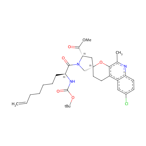 C=CCCCCC[C@H](NC(=O)OC(C)(C)C)C(=O)N1C[C@]2(CCc3c(c(C)nc4ccc(Cl)cc34)O2)C[C@H]1C(=O)OC